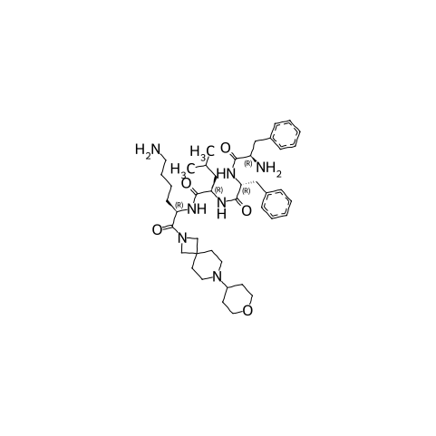 CC(C)C[C@@H](NC(=O)[C@@H](Cc1ccccc1)NC(=O)[C@H](N)Cc1ccccc1)C(=O)N[C@H](CCCCN)C(=O)N1CC2(CCN(C3CCOCC3)CC2)C1